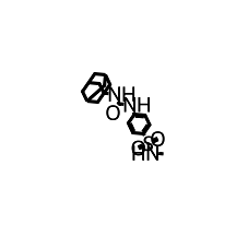 CNS(=O)(=O)c1ccc(NC(=O)NC23CC4CC(CC(C4)C2)C3)cc1